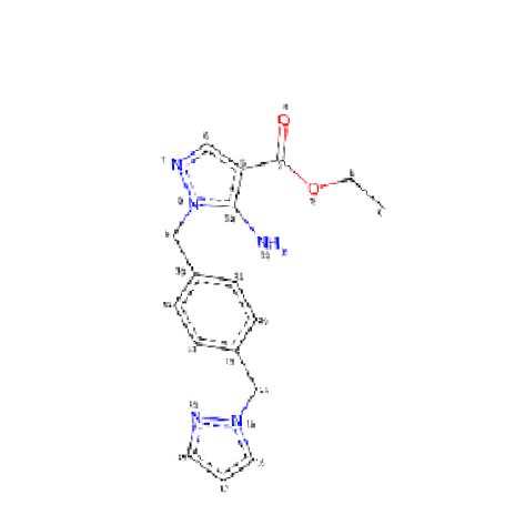 CCOC(=O)c1cnn(Cc2ccc(Cn3cccn3)cc2)c1N